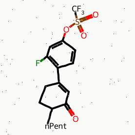 CCCCCC1CCC(c2ccc(OS(=O)(=O)C(F)(F)F)cc2F)=CC1=O